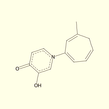 CC1=CC(n2ccc(=O)c(O)c2)=CC=CC1